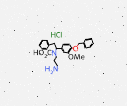 COc1cc(C(Cc2ccccc2)N(CCCN)C(=O)O)ccc1OCc1ccccc1.Cl